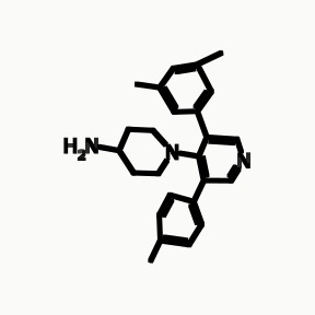 Cc1ccc(-c2cncc(-c3cc(C)cc(C)c3)c2N2CCC(N)CC2)cc1